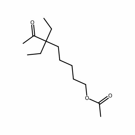 CCC(CC)(CCCCCOC(C)=O)C(C)=O